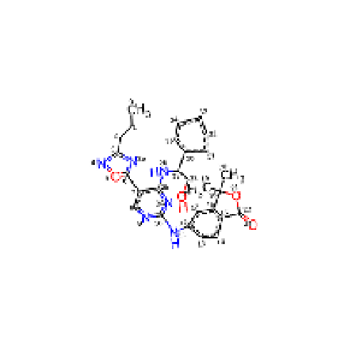 CCCc1noc(-c2cnc(Nc3ccc4c(c3)C(C)(C)OC4=O)nc2NC(CO)c2ccccc2)n1